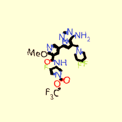 COc1ncc(-c2cc(CN3CCC(F)(F)CC3)c3c(N)ncnn23)cc1C(=O)N[C@@H]1CN(C(=O)OCC(F)(F)F)C[C@@H]1F